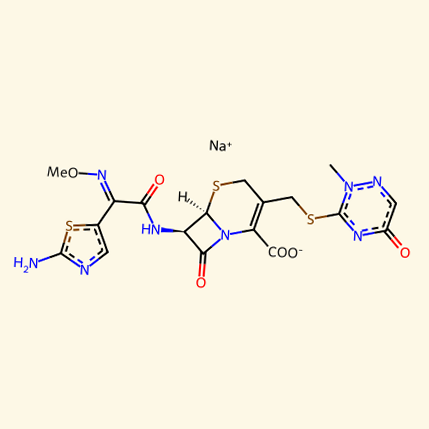 CO/N=C(/C(=O)N[C@@H]1C(=O)N2C(C(=O)[O-])=C(CSc3nc(=O)cnn3C)CS[C@H]12)c1cnc(N)s1.[Na+]